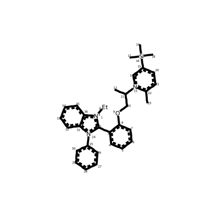 CC[n+]1c(-c2ccccc2OCC(C)[n+]2cc([Si](C)(C)C)ccc2C)n(-c2ccccc2)c2ccccc21